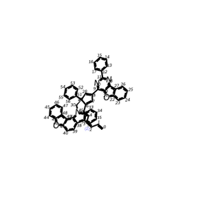 C=C/C=C\C=CC1=CC(c2nc(-c3ccccc3)nc3c2oc2ccccc23)=C[C@@]1(Cn1c2ccccc2c2ccc3oc4ccccc4c3c21)c1ccccc1